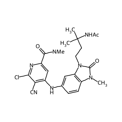 CNC(=O)c1cc(Nc2ccc3c(c2)n(CCC(C)(C)NC(C)=O)c(=O)n3C)c(C#N)c(Cl)n1